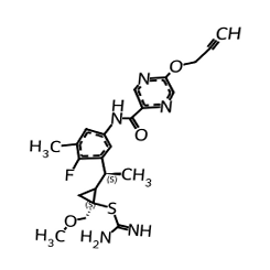 C#CCOc1cnc(C(=O)Nc2cc(C)c(F)c([C@@H](C)C3C[C@]3(COC)SC(=N)N)c2)cn1